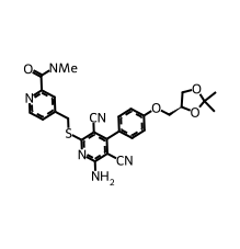 CNC(=O)c1cc(CSc2nc(N)c(C#N)c(-c3ccc(OC[C@H]4COC(C)(C)O4)cc3)c2C#N)ccn1